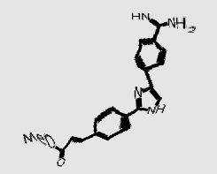 COC(=O)/C=C/c1ccc(-c2nc(-c3ccc(C(=N)N)cc3)c[nH]2)cc1